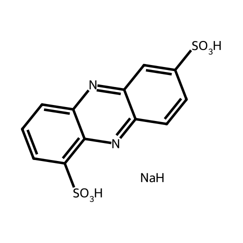 O=S(=O)(O)c1ccc2nc3c(S(=O)(=O)O)cccc3nc2c1.[NaH]